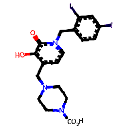 O=C(O)N1CCN(Cc2ccn(Cc3ccc(I)cc3I)c(=O)c2O)CC1